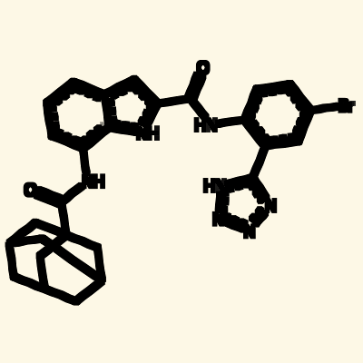 O=C(Nc1ccc(Br)cc1-c1nnn[nH]1)c1cc2cccc(NC(=O)C34CC5CC(CC(C5)C3)C4)c2[nH]1